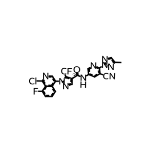 Cc1cnn(-c2ncc(NC(=O)c3cnn(-c4cnc(Cl)c5c(F)cccc45)c3C(F)(F)F)cc2C#N)n1